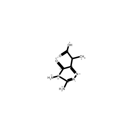 CC(C(=O)O)c1nnc(N)n(N)c1=O